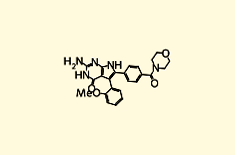 COc1ccccc1-c1c(-c2ccc(C(=O)N3CCOCC3)cc2)[nH]c2nc(N)[nH]c(=O)c12